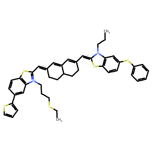 CCCN1/C(=C/C2=CC3=C/C(=C/c4sc5ccc(-c6cccs6)cc5[n+]4CCCSCC)CCC3CC2)Sc2ccc(Sc3ccccc3)cc21